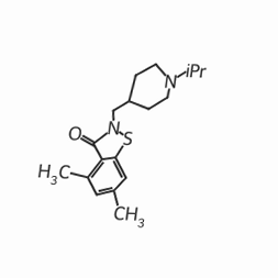 Cc1cc(C)c2c(=O)n(CC3CCN(C(C)C)CC3)sc2c1